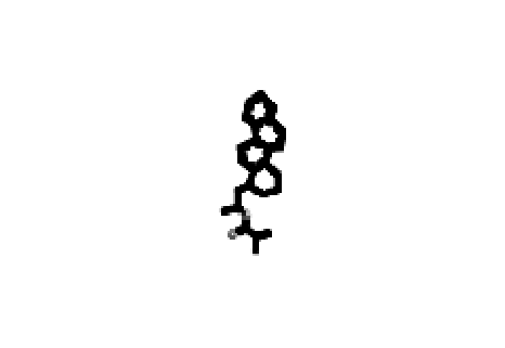 C=C(C)C(=O)OC(C)CC1CCCc2c1ccc1c2ccc2ccccc21